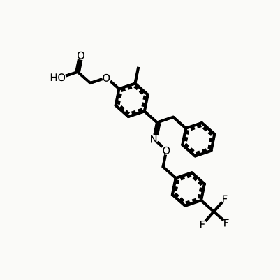 Cc1cc(/C(Cc2ccccc2)=N/OCc2ccc(C(F)(F)F)cc2)ccc1OCC(=O)O